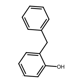 Oc1c[c]ccc1Cc1ccccc1